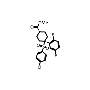 COC(=O)[C@H]1CC[C@](c2cc(F)ccc2F)(S(=O)(=O)c2ccc(Cl)cc2)CC1